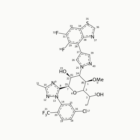 CO[C@H]1C(C(C)O)O[C@@H](c2nc(C)nn2-c2cc(Cl)ccc2C(F)(F)F)[C@@H](O)C1n1cc(-c2c(F)c(F)cc3scnc23)cn1